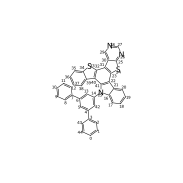 c1ccc(-c2cc(-c3ccccc3)cc(-n3c4ccccc4c4c5sc6ncncc6c5c5sc6ccccc6c5c43)c2)cc1